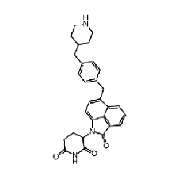 O=C1CCC(N2C(=O)c3cccc4c(Cc5ccc(CC6CCNCC6)cc5)ccc2c34)C(=O)N1